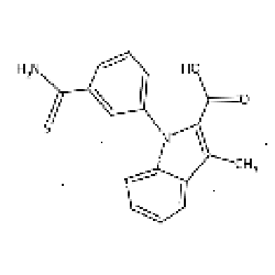 Cc1c(C(=O)O)n(-c2cccc(C(N)=S)c2)c2ccccc12